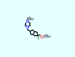 CC(C)(C)OCC1(F)CC2CC(CN3CCN(C(C)(C)C)CC3)CC2C1